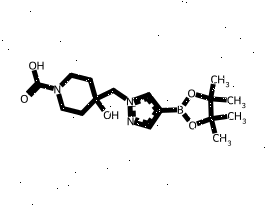 CC1(C)OB(c2cnn(CC3(O)CCN(C(=O)O)CC3)c2)OC1(C)C